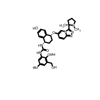 COc1c(CO)cc(C(C)(C)C)cc1NC(=O)N[C@H]1CC[C@@H](Oc2ccc3nnc([C@]4(C)CCCN4C)n3c2)c2ccccc21.Cl